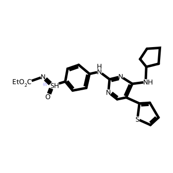 CCOC(=O)/N=[SH](=O)/c1ccc(Nc2ncc(-c3cccs3)c(NC3CCCC3)n2)cc1